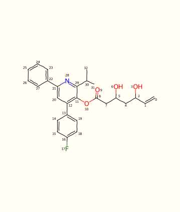 C=CC(O)CC(O)CC(=O)Oc1c(-c2ccc(F)cc2)cc(-c2ccccc2)nc1C(C)C